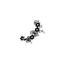 COc1ccc(Cl)c(-c2cc(C)c3c(c2)NNC(Nc2ccc(S(=O)(=O)N(C)CCN4CCCC4)cc2)=N3)c1